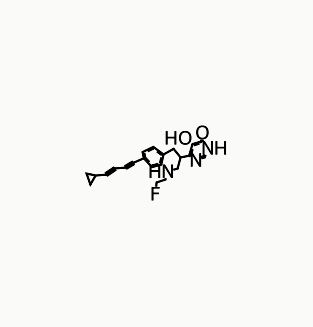 O=c1[nH]cnc(C(CNCCF)Cc2ccc(C#CC#CC3CC3)cc2)c1O